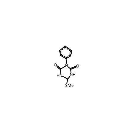 CSC1NC(=O)N(c2ccccc2)C(=O)N1